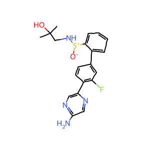 CC(C)(O)CN[S+]([O-])c1ccccc1-c1ccc(-c2cnc(N)cn2)c(F)c1